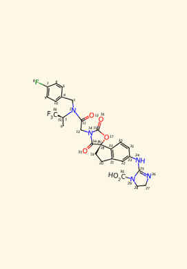 C[C@H](N(Cc1ccc(F)cc1)C(=O)CN1C(=O)O[C@@]2(CCc3cc(NC4=NCCN4C(=O)O)ccc32)C1=O)C(F)(F)F